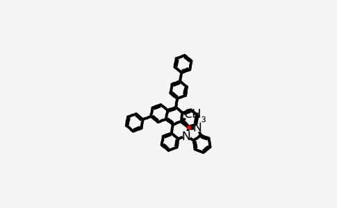 CCc1nc2ccccc2n1-c1ccccc1-c1c2ccccc2c(-c2ccc(-c3ccccc3)cc2)c2ccc(-c3ccccc3)cc12